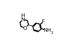 Nc1ccc([C@@H]2CNCCO2)cc1F